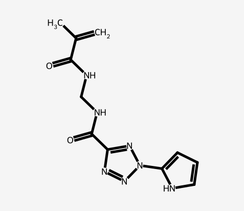 C=C(C)C(=O)NCNC(=O)c1nnn(-c2ccc[nH]2)n1